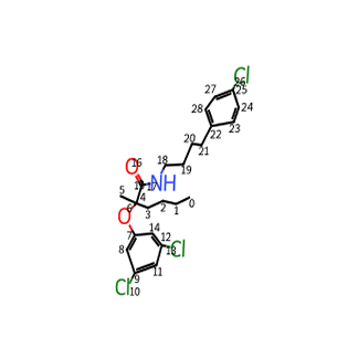 CCCCC(C)(Oc1cc(Cl)cc(Cl)c1)C(=O)NCCCCc1ccc(Cl)cc1